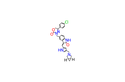 O=C1Nc2ccc(CN3N=C(c4ccc(Cl)cc4)COC3=O)cc2C1=Cc1cc(CN2C[C@H]3C[C@H]3C2)c[nH]1